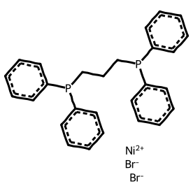 [Br-].[Br-].[Ni+2].c1ccc(P(CCCP(c2ccccc2)c2ccccc2)c2ccccc2)cc1